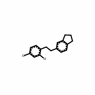 Clc1ccc(CCc2ccc3c(c2)CCC3)c(Cl)c1